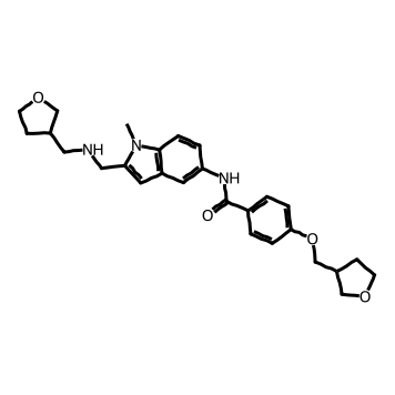 Cn1c(CNCC2CCOC2)cc2cc(NC(=O)c3ccc(OCC4CCOC4)cc3)ccc21